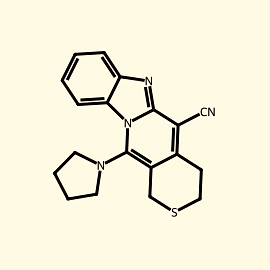 N#Cc1c2c(c(N3CCCC3)n3c1nc1ccccc13)CSCC2